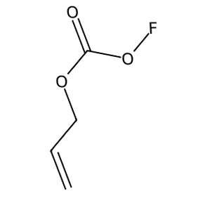 C=CCOC(=O)OF